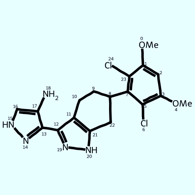 COc1cc(OC)c(Cl)c(C2CCc3c(-c4n[nH]cc4N)n[nH]c3C2)c1Cl